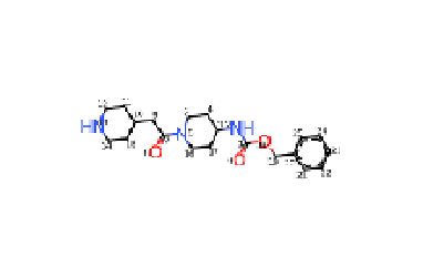 O=C(NC1CCN(C(=O)CC2CCNCC2)CC1)OCc1ccccc1